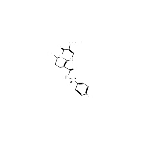 CCOC(=O)C1=CNC2=C(C(=O)NS(=O)(=O)c3ccc(C)cc3)CCC(C)N2C1=O